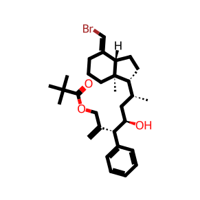 C=C(COC(=O)C(C)(C)C)[C@@H](c1ccccc1)[C@H](O)C[C@@H](C)[C@H]1CC[C@H]2/C(=C/Br)CCC[C@]12C